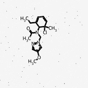 CCC1=CC=CC(C)(Cl)C1N(Cn1cc(OC)cn1)C(C)=O